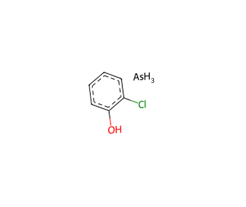 Oc1ccccc1Cl.[AsH3]